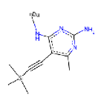 CCCCNc1nc(N)nc(C)c1C#C[Si](C)(C)C